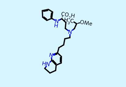 CO[C@H](C)CN(CCCCc1ccc2c(n1)NCCC2)CC[C@H](Nc1ccccc1)C(=O)O